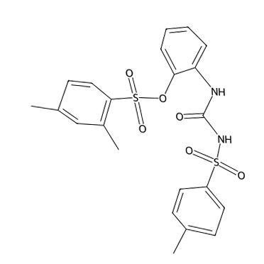 Cc1ccc(S(=O)(=O)NC(=O)Nc2ccccc2OS(=O)(=O)c2ccc(C)cc2C)cc1